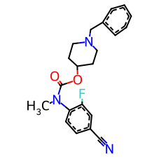 CN(C(=O)OC1CCN(Cc2ccccc2)CC1)c1ccc(C#N)cc1F